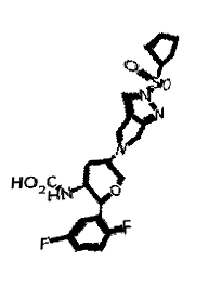 O=C(O)N[C@H]1C[C@@H](N2Cc3cn(S(=O)(=O)C4CCCC4)nc3C2)CO[C@H]1c1cc(F)ccc1F